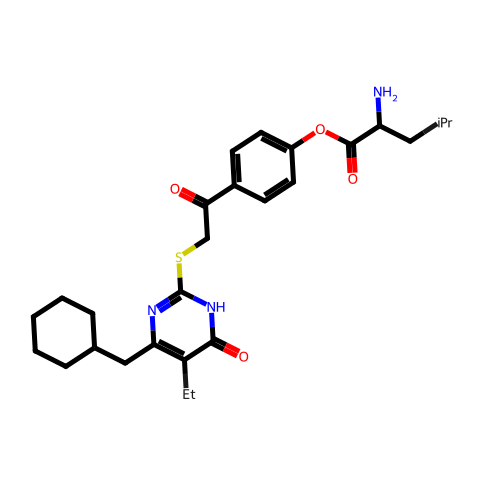 CCc1c(CC2CCCCC2)nc(SCC(=O)c2ccc(OC(=O)C(N)CC(C)C)cc2)[nH]c1=O